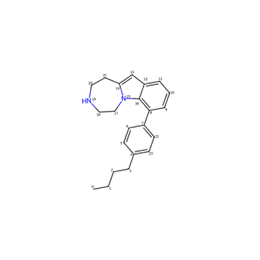 CCCCc1ccc(-c2cccc3cc4n(c23)CCNCC4)cc1